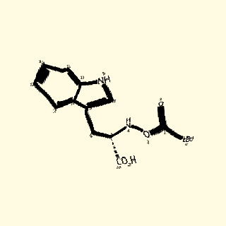 CC(C)(C)C(=O)ON[C@@H](Cc1c[nH]c2ccccc12)C(=O)O